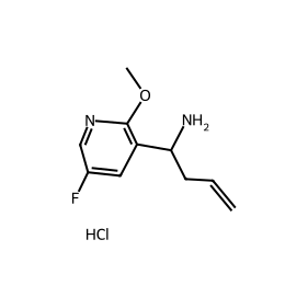 C=CCC(N)c1cc(F)cnc1OC.Cl